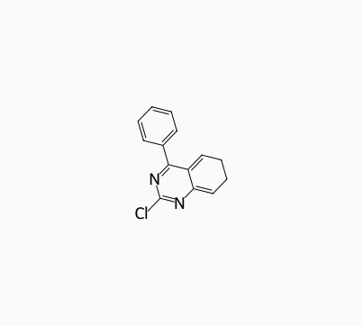 Clc1nc(-c2ccccc2)c2c(n1)=CCCC=2